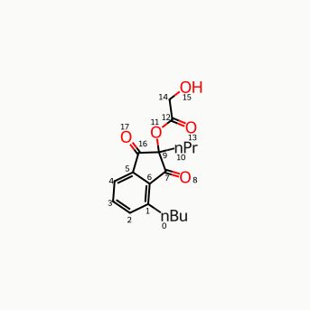 CCCCc1cccc2c1C(=O)C(CCC)(OC(=O)CO)C2=O